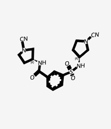 N#CN1CC[C@@H](NC(=O)c2cccc(S(=O)(=O)N[C@@H]3CCN(C#N)C3)c2)C1